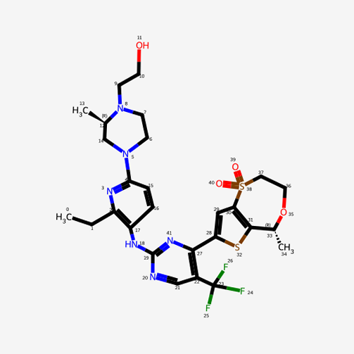 CCc1nc(N2CCN(CCO)[C@H](C)C2)ccc1Nc1ncc(C(F)(F)F)c(-c2cc3c(s2)[C@@H](C)OCCS3(=O)=O)n1